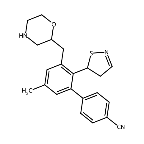 Cc1cc(CC2CNCCO2)c(C2CC=NS2)c(-c2ccc(C#N)cc2)c1